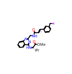 COC(=O)[C@@H](Nc1nc(CNC(=O)/C=C/c2cccc(CI)c2)nc2ccccc12)C(C)C